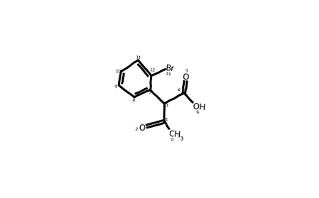 CC(=O)C(C(=O)O)c1ccccc1Br